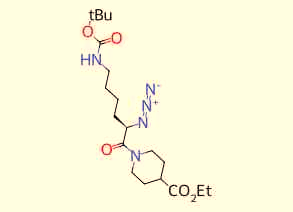 CCOC(=O)C1CCN(C(=O)[C@@H](CCCCNC(=O)OC(C)(C)C)N=[N+]=[N-])CC1